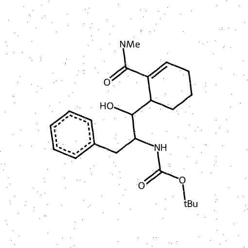 CNC(=O)C1=CCCCC1C(O)C(Cc1ccccc1)NC(=O)OC(C)(C)C